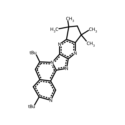 CC(C)(C)c1cc2cc(C(C)(C)C)n3c4nc5c(nc4nc3c2cn1)C(C)(C)CC5(C)C